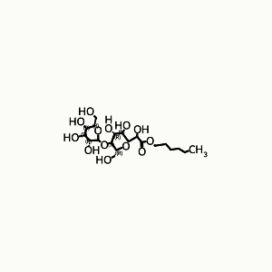 CCCCCCOC(=O)C(O)C1O[C@H](CO)[C@@H](OC2O[C@H](CO)[C@H](O)[C@H](O)[C@H]2O)[C@H](O)[C@H]1O